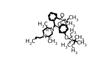 C=CCN1C[C@@H](C)N([C@H](c2cccc(O[Si](C)(C)C(C)(C)C)c2)c2ccccc2S(=O)(=O)N(C)C)C[C@@H]1C